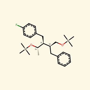 C[C@H](O[Si](C)(C)C)[C@@H](Cc1ccc(F)cc1)[C@@H](CO[Si](C)(C)C)Cc1ccccc1